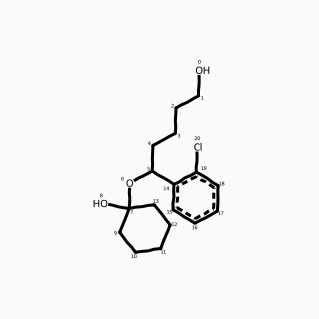 OCCCCC(OC1(O)CCCCC1)c1ccccc1Cl